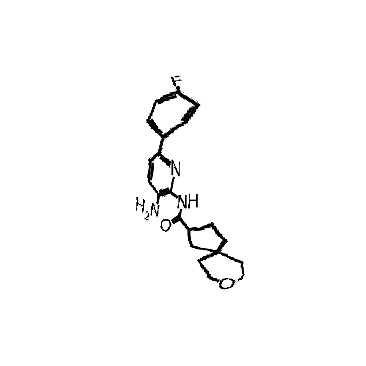 Nc1ccc(-c2ccc(F)cc2)nc1NC(=O)C1CCC2(CCOCC2)C1